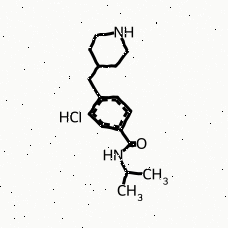 CC(C)NC(=O)c1ccc(CC2CCNCC2)cc1.Cl